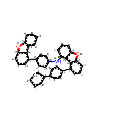 c1ccc(-c2ccc(-c3cccc4oc5cccc(Nc6ccc(-c7cccc8oc9ccccc9c78)cc6)c5c34)cc2)cc1